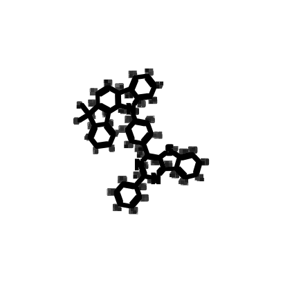 CC1(C)c2ccccc2-c2c1ccc1c3ccccc3n(-c3ccc(-c4nc(-c5ccccc5)nc5c4sc4ccccc45)cc3)c21